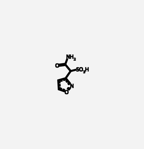 NC(=O)C(c1ccon1)S(=O)(=O)O